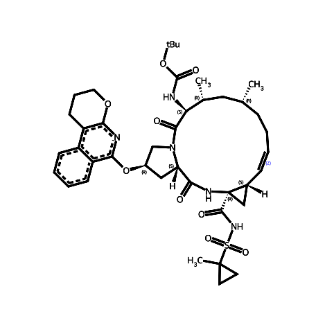 C[C@@H]1CC/C=C\[C@@H]2C[C@@]2(C(=O)NS(=O)(=O)C2(C)CC2)NC(=O)[C@@H]2C[C@@H](Oc3nc4c(c5ccccc35)CCCO4)CN2C(=O)[C@@H](NC(=O)OC(C)(C)C)[C@H](C)C1